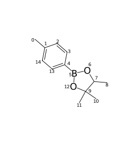 Cc1ccc(B2OC(C)C(C)(C)O2)cc1